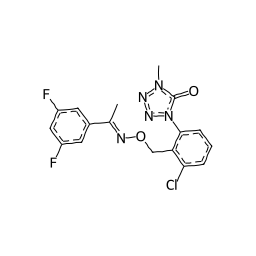 CC(=NOCc1c(Cl)cccc1-n1nnn(C)c1=O)c1cc(F)cc(F)c1